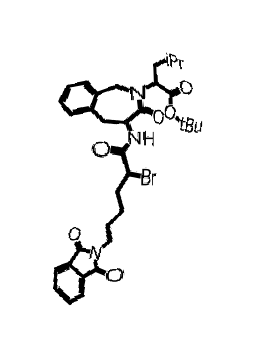 CC(C)CC(C(=O)OC(C)(C)C)N1Cc2ccccc2CC(NC(=O)C(Br)CCCCN2C(=O)c3ccccc3C2=O)C1=O